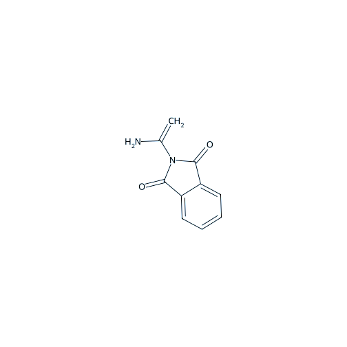 C=C(N)N1C(=O)c2ccccc2C1=O